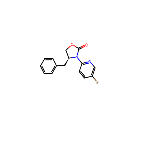 O=C1OC[C@H](Cc2ccccc2)N1c1ccc(Br)cn1